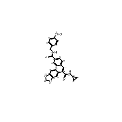 O=Cc1ccc(CNC(=O)c2ccc(/C=C(/C(=O)NC3CC3)c3ccc4c(c3)OCO4)cc2)cc1